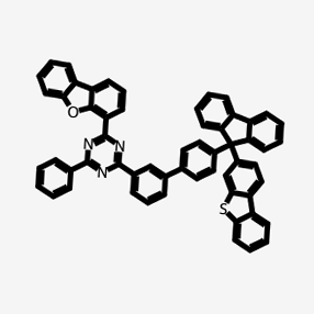 c1ccc(-c2nc(-c3cccc(-c4ccc(C5(c6ccc7c(c6)sc6ccccc67)c6ccccc6-c6ccccc65)cc4)c3)nc(-c3cccc4c3oc3ccccc34)n2)cc1